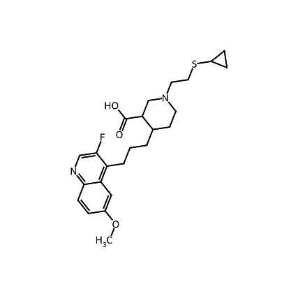 COc1ccc2ncc(F)c(CCCC3CCN(CCSC4CC4)CC3C(=O)O)c2c1